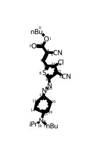 CCCCOC(=O)/C(C#N)=C/c1sc(/N=N/c2ccc(N(CCCC)C(C)C)cc2)c(C#N)c1Cl